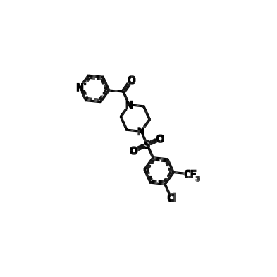 O=C(c1ccncc1)N1CCN(S(=O)(=O)c2ccc(Cl)c(C(F)(F)F)c2)CC1